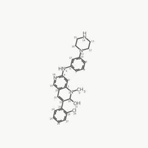 CN1c2cc(Nc3cccc(N4CCNCC4)c3)ncc2C=C(c2ccccc2Cl)C1O